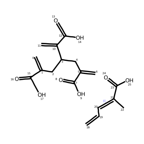 C=C(CC(CC(=C)C(=O)O)C(=C)C(=O)O)C(=O)O.C=C/C=C(\C)C(=O)O